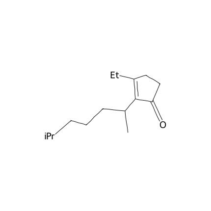 CCC1=C(C(C)CCCC(C)C)C(=O)CC1